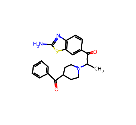 CC(C(=O)c1ccc2nc(N)sc2c1)N1CCC(C(=O)c2ccccc2)CC1